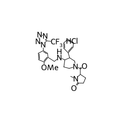 COc1ccc(-n2nnnc2C(F)(F)F)cc1CNC1CCN(C(=O)C2CCC(=O)N2C)CC1c1ccccc1.Cl